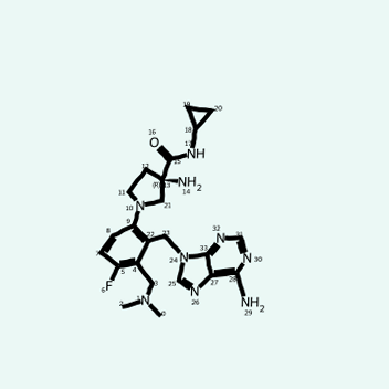 CN(C)Cc1c(F)ccc(N2CC[C@](N)(C(=O)NC3CC3)C2)c1Cn1cnc2c(N)ncnc21